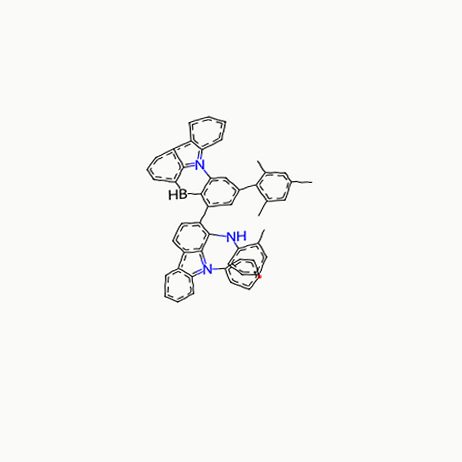 Cc1cc(C)c(-c2cc(-c3ccc4c5ccccc5n(-c5ccccc5)c4c3Nc3ccccc3C)c3c(c2)-n2c4ccccc4c4cccc(c42)B3)c(C)c1